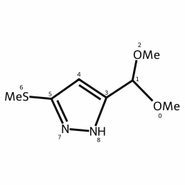 COC(OC)c1cc(SC)n[nH]1